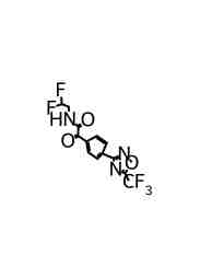 O=C(NCC(F)F)C(=O)c1ccc(-c2noc(C(F)(F)F)n2)cc1